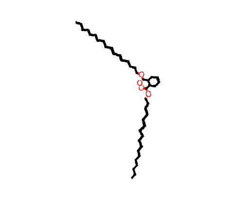 CCCCCCCCCCCCCCCCCOC(=O)C1CCCCC1C(=O)OCCCCCCCCCCCCCCCCC